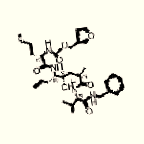 C=CC[C@H](NC(=O)[C@H](CCSC)NC(=O)OCc1ccoc1)[C@@H](O)C[C@@H](C)C(=O)N[C@H](C(=O)NCc1ccccc1)C(C)C